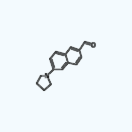 O=Cc1ccc2cc(N3CCCC3)ccc2c1